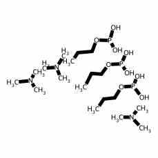 CCCOP(O)O.CCCOP(O)O.CCCOP(O)O.CN(C)C.CN(C)C.CN(C)C